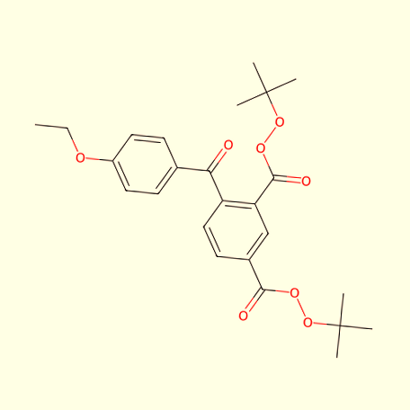 CCOc1ccc(C(=O)c2ccc(C(=O)OOC(C)(C)C)cc2C(=O)OOC(C)(C)C)cc1